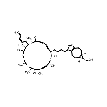 C=C/C=C\[C@H](C)[C@@H]1OC(=O)/C=C\C=C\[C@@H](CCCCn2nnc3c2CC[C@@H]2[C@@H](CO)[C@@H]2CC3)[C@@H](O)C[C@H](O)/C=C\[C@H](C)[C@H](O)[C@@H](C)C[C@@H](C)CC[C@@H](O)[C@@H]1C